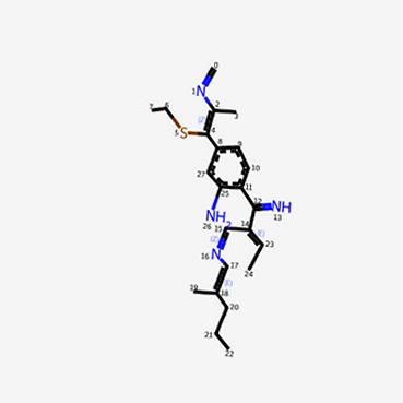 C=N/C(C)=C(\SCC)c1ccc(C(=N)C(/C=N\C=C(/C)CCC)=C/C)c(N)c1